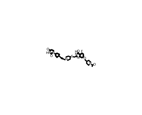 CC(=O)N1CCC(COc2cc(F)c3c(=O)[nH]c(CSC4CCN(CC#Cc5ccc(-n6ccc(=O)[nH]c6=O)cc5)CC4)nc3c2)CC1